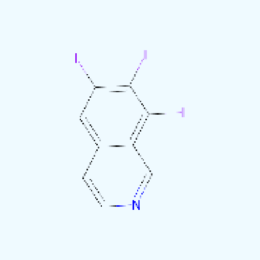 Ic1cc2ccncc2c(I)c1I